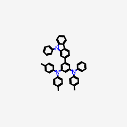 Cc1ccc(N(c2ccccc2)c2cc(-c3ccc4c5ccccc5n(-c5ccccc5)c4c3)cc(N(c3ccc(C)cc3)c3ccc(C)cc3)c2)cc1